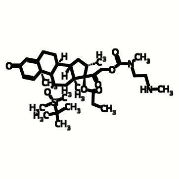 CCC(=O)O[C@]1(C(=O)COC(=O)N(C)CCNC)[C@@H](C)C[C@H]2[C@@H]3CCC4=CC(=O)C=C[C@]4(C)C3[C@@H](O[Si](C)(C)C(C)(C)C)C[C@@]21C